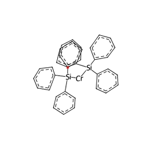 c1ccc([Si]([Cr][Si](c2ccccc2)(c2ccccc2)c2ccccc2)(c2ccccc2)c2ccccc2)cc1